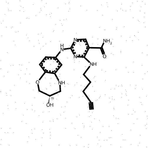 C#CCCCNc1nc(Nc2ccc3c(c2)NC[C@H](O)CO3)ncc1C(N)=O